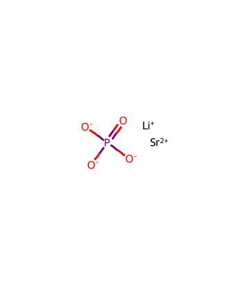 O=P([O-])([O-])[O-].[Li+].[Sr+2]